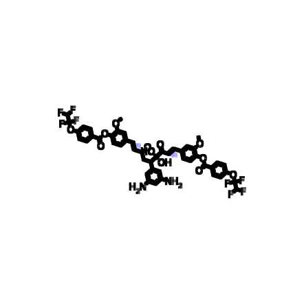 COc1cc(/C=C/C(=O)CC(c2cc(N)cc(N)c2)C(O)(O)C(=O)/C=C/c2ccc(OC(=O)c3ccc(OC(F)(F)C(F)F)cc3)c(OC)c2)ccc1OC(=O)c1ccc(OC(F)(F)C(F)F)cc1